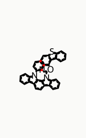 c1ccc(-n2c3ccccc3c3ccc4c5ccccc5n(-c5nc6ccc7sc8ccccc8c7c6o5)c4c32)cc1